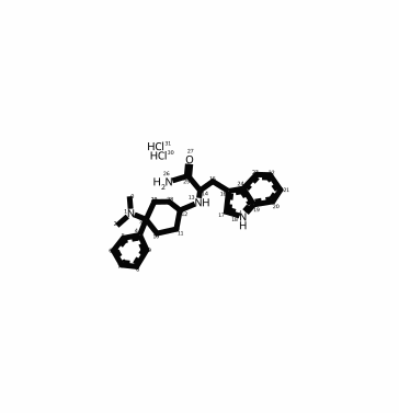 CN(C)C1(c2ccccc2)CCC(NC(Cc2c[nH]c3ccccc23)C(N)=O)CC1.Cl.Cl